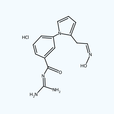 Cl.NC(N)=NC(=O)c1cccc(-n2cccc2C/C=N\O)c1